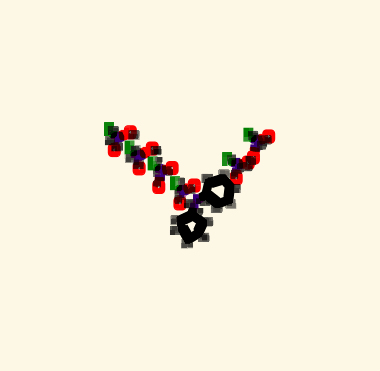 O=I(=O)F.O=I(=O)F.O=I(=O)F.O=I(=O)F.O=I(=O)F.O=I(=O)F.c1ccc([I]c2ccccc2)cc1